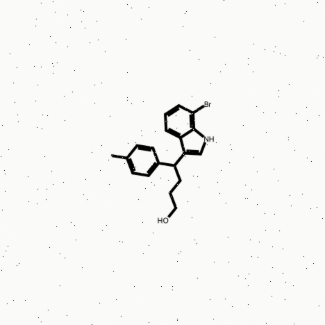 Cc1ccc(C(CCCO)c2c[nH]c3c(Br)cccc23)cc1